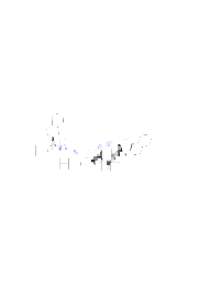 CN1/C(=C/C=C/C2=CC(=C/C=C/C3=[N+](C)c4ccc5ccccc5c4C34CCCCC4)/C(C)(C)C2(C)C)C2(CCCCC2)c2c1ccc1ccccc21